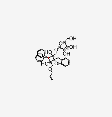 C=CCOC[C@](O)(Cc1ccccc1)[C@](O)(Cc1ccccc1)[C@@](O)(CO[C@@H]1O[C@H](CO)[C@@H](O)[C@H]1O)Cc1ccccc1